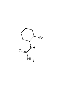 NC(=O)NC1CCCCC1Br